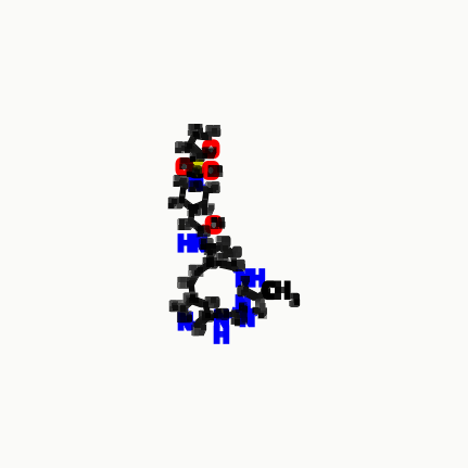 Cc1cnc2nc1Nc1ccc(NC(=O)CC3CCN(S(=O)(=O)c4ccco4)CC3)c(c1)CCc1cncc(c1)N2